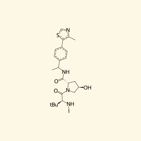 Cc1ncsc1-c1ccc(C(C)NC(=O)[C@@H]2C[C@@H](O)CN2C(=O)[C@@H](NI)C(C)(C)C)cc1